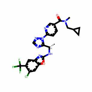 C[C@H](Nc1nc2cc(C(F)(F)F)c(Cl)cc2o1)c1ncnn1-c1ccc(C(=O)N(C)CC2CC2)cn1